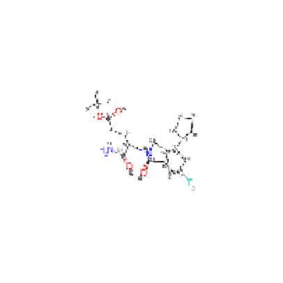 CC(C)(C)OC(=O)CCC(C(N)=O)N1Cc2c(cc(F)cc2C2CCCC2)C1=O